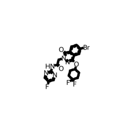 O=C(Cn1nc(OC2CCC(F)(F)CC2)c2cc(Br)ccc2c1=O)Nc1ncc(F)cn1